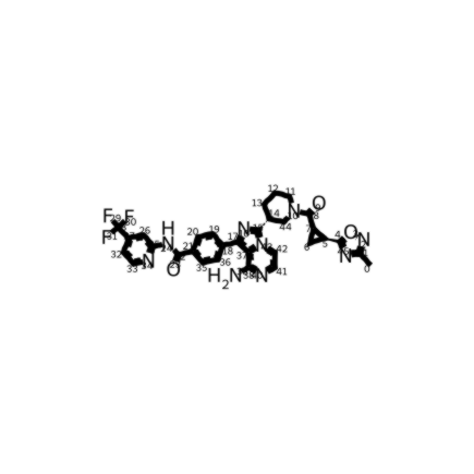 Cc1noc([C@H]2CC2C(=O)N2CCC[C@@H](c3nc(-c4ccc(C(=O)Nc5cc(C(F)(F)F)ccn5)cc4)c4c(N)nccn34)C2)n1